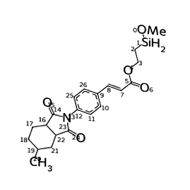 CO[SiH2]CCOC(=O)C=Cc1ccc(N2C(=O)C3CCC(C)CC3C2=O)cc1